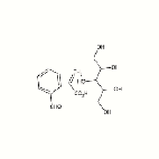 C=CC(=O)O.O=Cc1ccccc1.OCC(O)C(O)C(O)CO